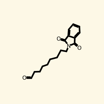 O=CCCCCCCCCN1C(=O)c2ccccc2C1=O